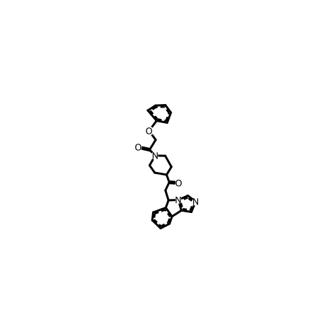 O=C(CC1c2ccccc2-c2cncn21)C1CCN(C(=O)COc2ccccc2)CC1